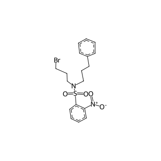 O=[N+]([O-])c1ccccc1S(=O)(=O)N(CCCBr)CCCc1ccccc1